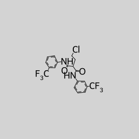 O=C(Nc1cccc(C(F)(F)F)c1)C(CCCl)C(=O)Nc1cccc(C(F)(F)F)c1